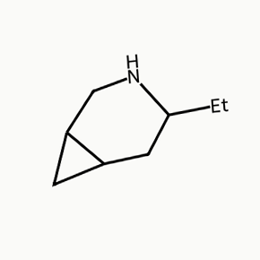 CCC1CC2CC2CN1